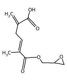 C=C(CC=C(C)C(=O)OCC1CO1)C(=O)O